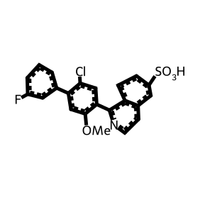 COc1cc(-c2cccc(F)c2)c(Cl)cc1-c1nccc2cc(S(=O)(=O)O)ccc12